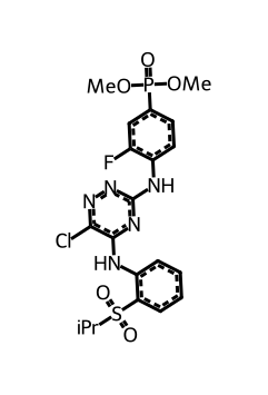 COP(=O)(OC)c1ccc(Nc2nnc(Cl)c(Nc3ccccc3S(=O)(=O)C(C)C)n2)c(F)c1